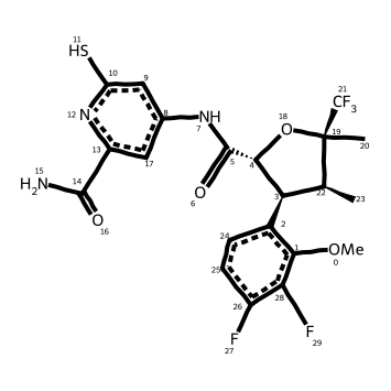 COc1c([C@H]2[C@H](C(=O)Nc3cc(S)nc(C(N)=O)c3)O[C@@](C)(C(F)(F)F)[C@H]2C)ccc(F)c1F